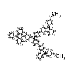 CCCc1ccc(-n2c3ccccc3c3cc(-c4ccc5c(c4)c4cc(-c6ccc7c(c6)c6ccccc6n7-c6ccc(CCC)cc6)ccc4n5-c4ccc(-c5c6ccccc6c(-c6ccccc6)c6ccccc56)cc4)ccc32)cc1